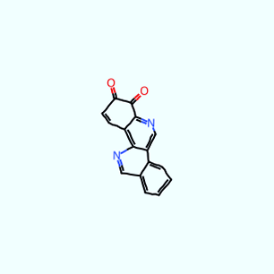 O=C1C=Cc2c(ncc3c2ncc2ccccc23)C1=O